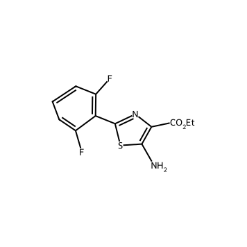 CCOC(=O)c1nc(-c2c(F)cccc2F)sc1N